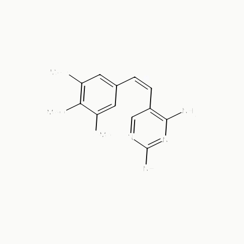 COc1cc(/C=C\c2cnc(N)nc2N)cc(OC)c1OC